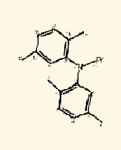 Cc1ccc(C)c(N(c2cc(C)ccc2C)C(C)C)c1